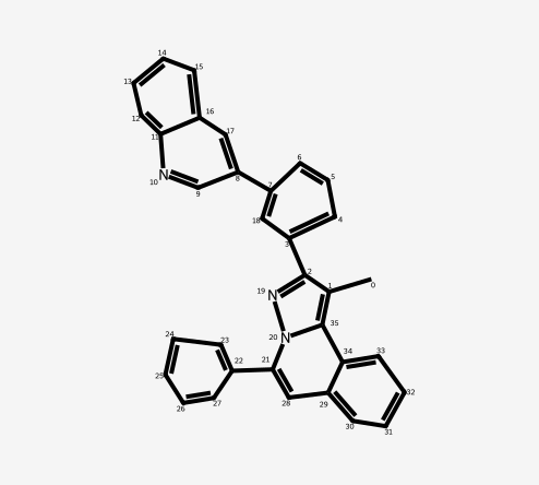 Cc1c(-c2cccc(-c3cnc4ccccc4c3)c2)nn2c(-c3ccccc3)cc3ccccc3c12